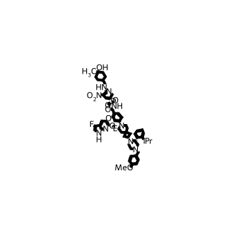 CCOc1nc2[nH]cc(F)c2cc1Oc1cc(N2CCC3(CC2)CC(N2CCN(Cc4ccc(OC)cc4)C[C@H]2c2ccccc2C(C)C)C3)ccc1C(=O)NS(=O)(=O)c1cnc(NCC2CCC(C)(O)CC2)c([N+](=O)[O-])c1